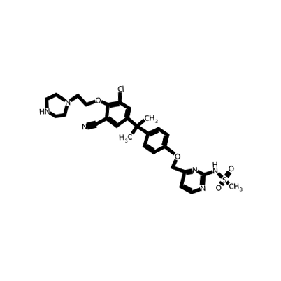 CC(C)(c1ccc(OCc2ccnc(NS(C)(=O)=O)n2)cc1)c1cc(Cl)c(OCCN2CCNCC2)c(C#N)c1